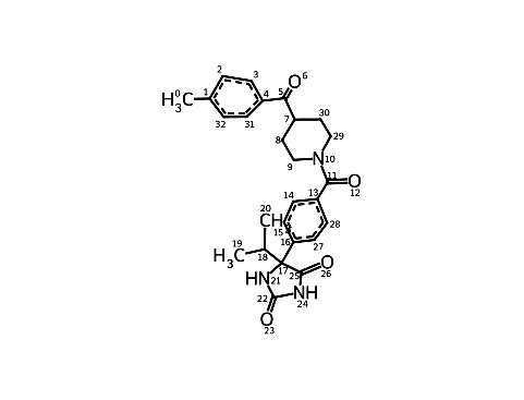 Cc1ccc(C(=O)C2CCN(C(=O)c3ccc(C4(C(C)C)NC(=O)NC4=O)cc3)CC2)cc1